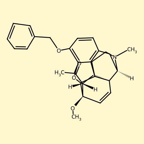 CO[C@]12C=C[C@@]3(C[C@H]1C(C)=O)[C@H]1Cc4ccc(OCc5ccccc5)c5c4C3(CCN1C)[C@H]2O5